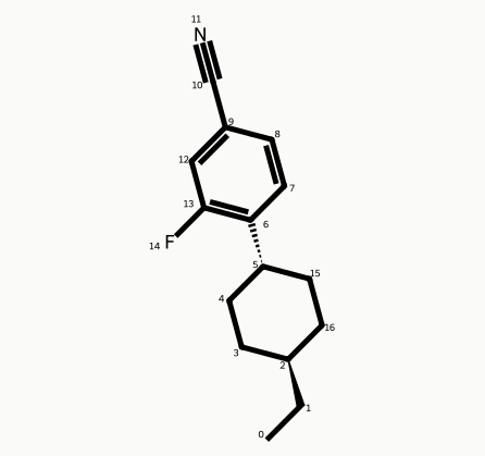 CC[C@H]1CC[C@H](c2ccc(C#N)cc2F)CC1